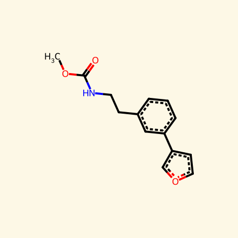 COC(=O)NCCc1cccc(-c2ccoc2)c1